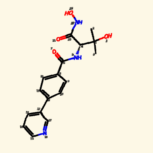 CC(C)(O)[C@H](NC(=O)c1ccc(-c2cccnc2)cc1)C(=O)NO